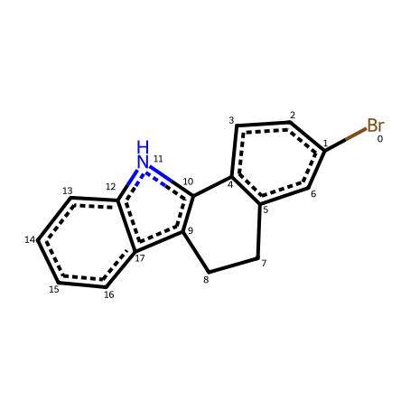 Brc1ccc2c(c1)CCc1c-2[nH]c2ccccc12